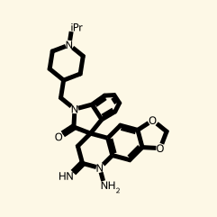 CC(C)N1CCC(CN2C(=O)C3(CC(=N)N(N)c4cc5c(cc43)OCO5)c3ccccc32)CC1